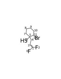 FC(F)=CCC1(S)CCCCC1Br